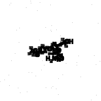 CCn1c(-c2nonc2N)nc2c(C#CC(C)(C)O)ncc(OCC3CCN(C(=O)OC(C)(C)C)CC3)c21